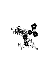 Cc1cc(C)c([I+]c2ccc(Sc3ccc([S+](c4ccccc4)c4ccccc4)cc3)cc2)c(C)c1.O=S(=O)([O-])C(F)(F)F.O=S(=O)([O-])C(F)(F)F